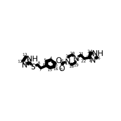 O=C(Oc1ccc(CCSc2ncc[nH]2)cc1)N1CCN(CCc2c[nH]cn2)CC1